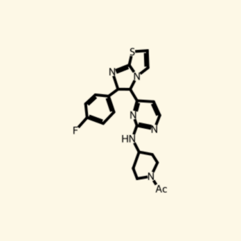 CC(=O)N1CCC(Nc2nccc(C3C(c4ccc(F)cc4)N=C4SC=CN43)n2)CC1